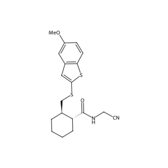 COc1ccc2sc(SC[C@@H]3CCCC[C@H]3C(=O)NCC#N)cc2c1